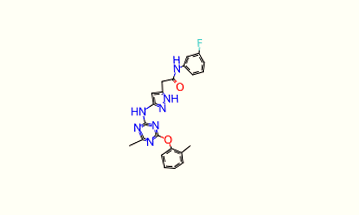 Cc1nc(Nc2cc(CC(=O)Nc3cccc(F)c3)[nH]n2)nc(Oc2ccccc2C)n1